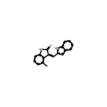 Cc1cccc2c1C(=Cc1cc3ccccc3[nH]1)C(=O)N2